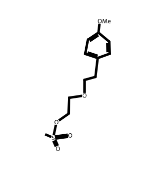 COc1ccc(CCOCCOS(C)(=O)=O)cc1